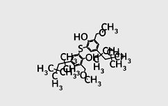 COCc1cc(C(C)(C)CC(C)(C)C)cc(Sc2cc(C(C)(C)CC(C)(C)C)cc(COC)c2O)c1O